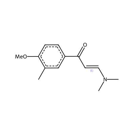 COc1ccc(C(=O)/C=C/N(C)C)cc1C